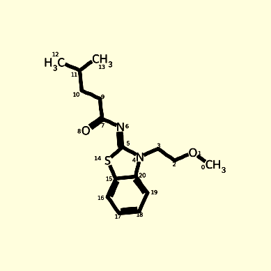 COCCn1/c(=N/C(=O)CCC(C)C)sc2ccccc21